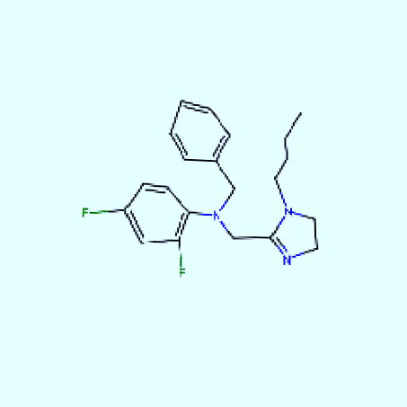 CCCCN1CCN=C1CN(Cc1ccccc1)c1ccc(F)cc1F